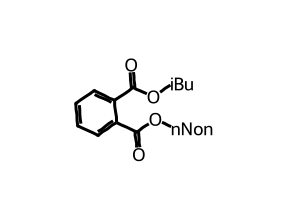 CCCCCCCCCOC(=O)c1ccccc1C(=O)OC(C)CC